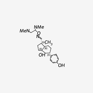 CNCC(NC)ON=C[C@H]1CC[C@]2(O)C[C@@H](c3ccc(O)cc3)CC[C@]12C